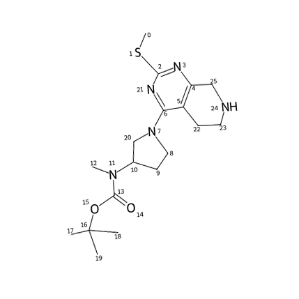 CSc1nc2c(c(N3CCC(N(C)C(=O)OC(C)(C)C)C3)n1)CCNC2